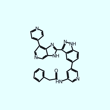 O=C(Cc1ccccc1)Nc1cncc(-c2ccc3[nH]nc(-c4nc5c(-c6ccncc6)cncc5[nH]4)c3c2)c1